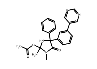 CN1C(=O)C(c2ccccc2)(c2cccc(-c3cncnc3)c2)NC1(N)OC(=O)C(F)(F)F